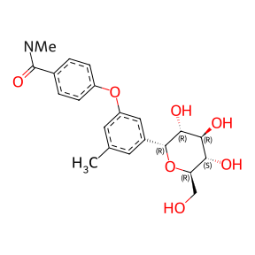 CNC(=O)c1ccc(Oc2cc(C)cc([C@H]3O[C@H](CO)[C@@H](O)[C@H](O)[C@H]3O)c2)cc1